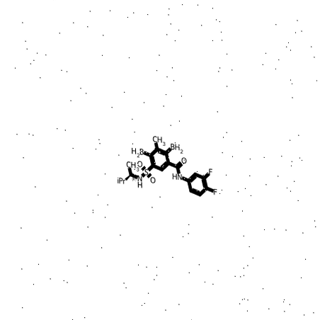 Bc1c(C(=O)Nc2ccc(F)c(F)c2)cc(S(=O)(=O)N[C@H](C)C(C)C)c(B)c1C